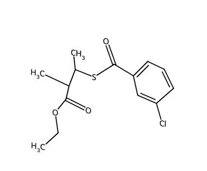 CCOC(=O)C(C)C(C)SC(=O)c1cccc(Cl)c1